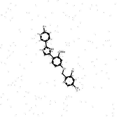 COc1cc(OCc2ncc(C(F)(F)F)cc2Br)ccc1-c1cnc(-c2ccc(F)nc2)[nH]1